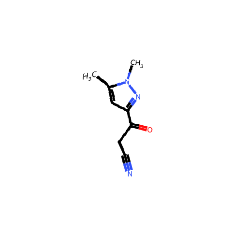 Cc1cc(C(=O)CC#N)nn1C